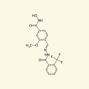 COc1cc(C(=O)NO)ccc1C=NNC(=O)c1ccccc1C(F)(F)F